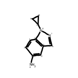 Nc1ccc2c(cnn2C2CC2)c1